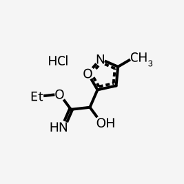 CCOC(=N)C(O)c1cc(C)no1.Cl